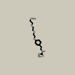 COCCOCCOCCOc1ccc(CCNC(=O)OC(C)(C)C)cc1